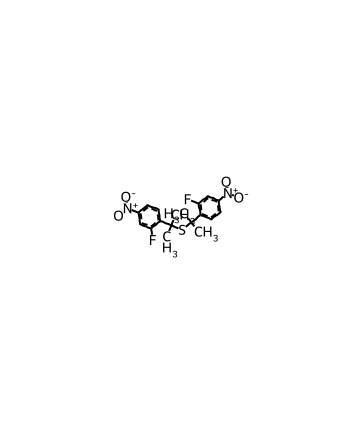 CC(C)(SC(C)(C)c1ccc([N+](=O)[O-])cc1F)c1ccc([N+](=O)[O-])cc1F